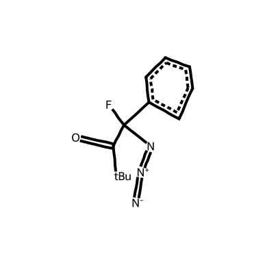 CC(C)(C)C(=O)C(F)(N=[N+]=[N-])c1ccccc1